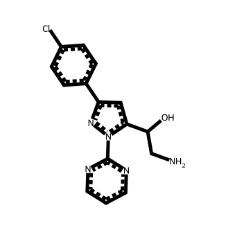 NCC(O)c1cc(-c2ccc(Cl)cc2)nn1-c1ncccn1